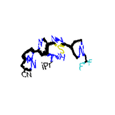 CC(C)Nc1cc(-c2ccc3cc(C#N)cnn23)ncc1-c1nnc(C2CCN(CC(F)F)CC2)s1